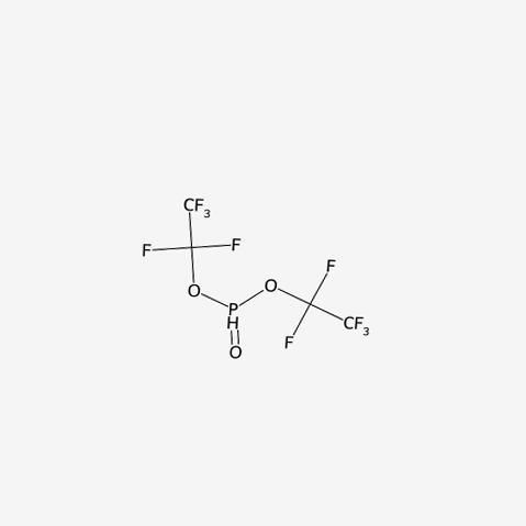 O=[PH](OC(F)(F)C(F)(F)F)OC(F)(F)C(F)(F)F